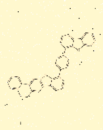 c1ccc2c(c1)CCc1cc3c(cc1-2)sc1c(-c2ccc(-c4cccc5c4oc4ccccc45)cc2)cccc13